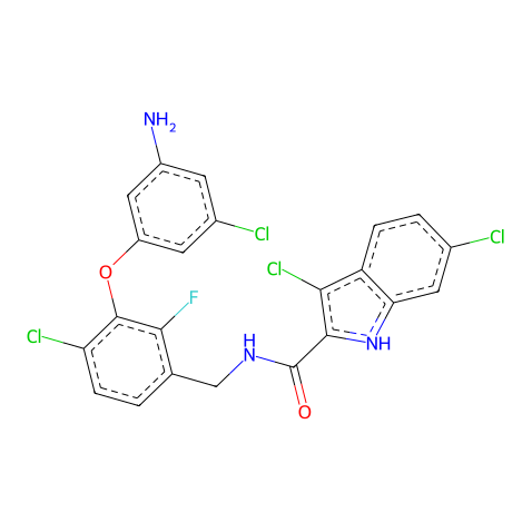 Nc1cc(Cl)cc(Oc2c(Cl)ccc(CNC(=O)c3[nH]c4cc(Cl)ccc4c3Cl)c2F)c1